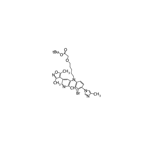 Cc1cn(-c2ccc(N(CCCCCOCC(=O)OC(C)(C)C)c3cc(-c4c(C)noc4C)cnc3C)cc2Br)cn1